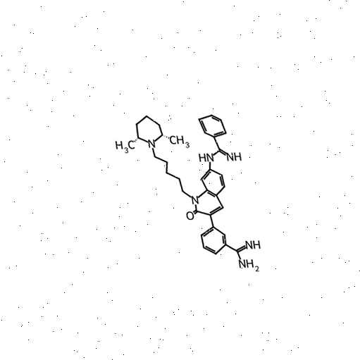 C[C@@H]1CCC[C@H](C)N1CCCCCn1c(=O)c(-c2cccc(C(=N)N)c2)cc2ccc(NC(=N)c3ccccc3)cc21